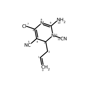 C=CCC1C(C#N)=C(Cl)N=C(N)N1C#N